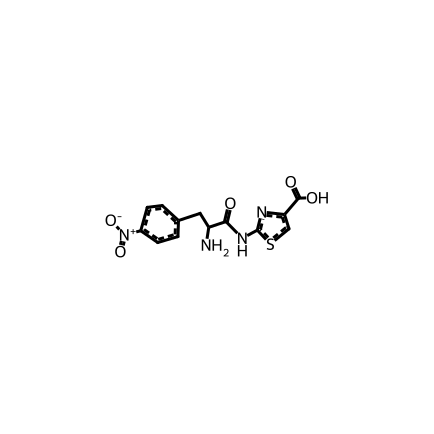 NC(Cc1ccc([N+](=O)[O-])cc1)C(=O)Nc1nc(C(=O)O)cs1